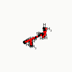 CC1NCSC1c1ccc(CNC(=O)[C@@H]2C[C@@H](O)CN2C(=O)[C@@H](NC(=O)CCCCCCC(=O)NCCCC[C@H](NC(=O)C2CCN(S(C)(=O)=O)C2)C(=O)NC2NC(c3ccccc3)CS2)C(C)(C)C)cc1